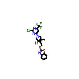 FC(F)(F)c1cc(N2C[C@@H]3C(CSc4nc5ccccc5s4)[C@@H]3C2)nc(Cl)n1